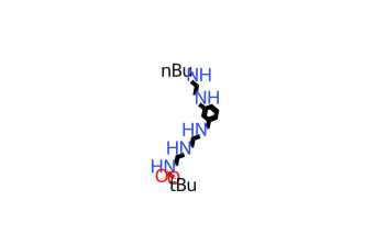 CCCCNCCCNCc1cccc(CNCCCNCCCNC(=O)OC(C)(C)C)c1